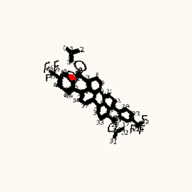 CC(C)COC(=O)c1ccc2c3ccc(-c4ccc(C(F)(F)F)cc4)c4c(C(=O)OC(C)C)ccc(c5ccc(-c6ccc(C(F)(F)F)cc6)c1c52)c43